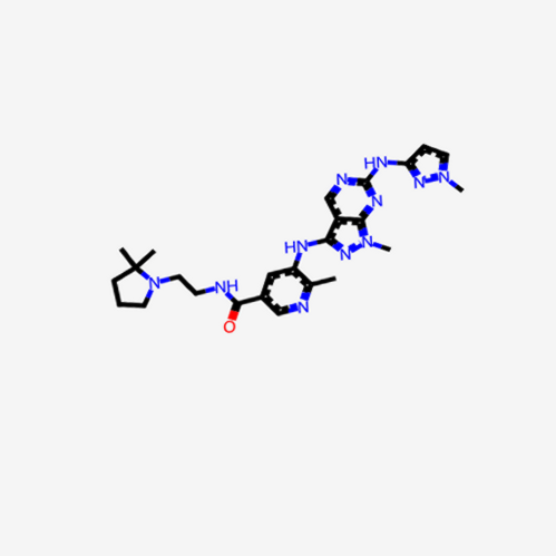 Cc1ncc(C(=O)NCCN2CCCC2(C)C)cc1Nc1nn(C)c2nc(Nc3ccn(C)n3)ncc12